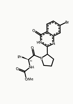 COC(=O)N[C@H](C(=O)N1CCCC1c1nc2cc(Br)ccc2c(=O)[nH]1)C(C)C